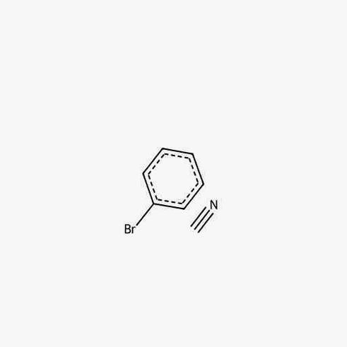 Brc1ccccc1.C#N